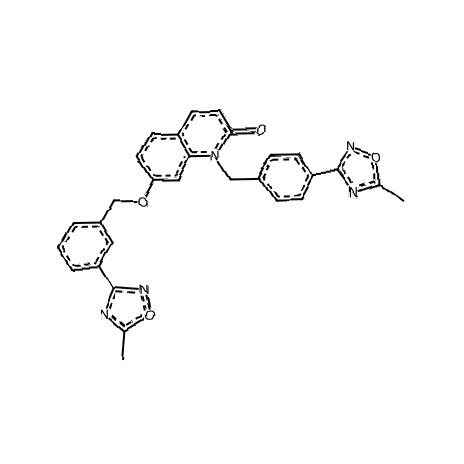 Cc1nc(-c2ccc(Cn3c(=O)ccc4ccc(OCc5cccc(-c6noc(C)n6)c5)cc43)cc2)no1